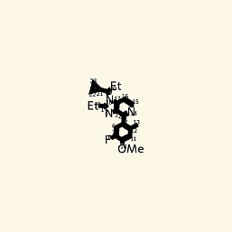 CCc1nc2c(-c3cc(F)c(OC)cc3C)nccc2n1C(CC)C1CC1